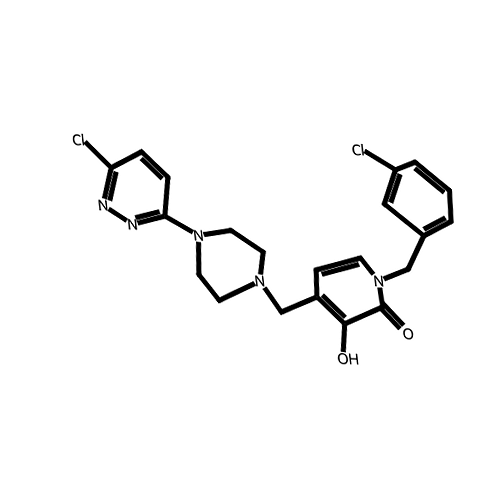 O=c1c(O)c(CN2CCN(c3ccc(Cl)nn3)CC2)ccn1Cc1cccc(Cl)c1